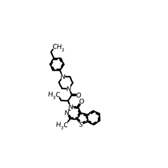 CCc1ccc(N2CCN(C(=O)C(CC)n3nc(C)c4sc5ccccc5c4c3=O)CC2)cc1